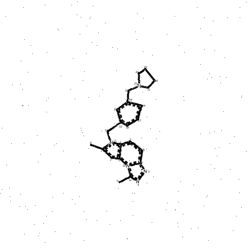 Cc1cc2c(ccc3nnc(C)n32)n1Cc1cccc(CN2CCCC2)c1